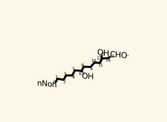 CCCCCCCCCCCCCCC(O)CCCCC(O)C[C]=O